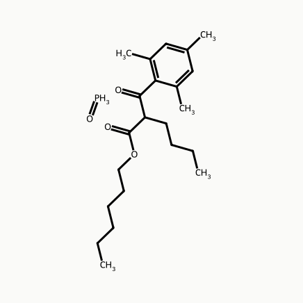 CCCCCCOC(=O)C(CCCC)C(=O)c1c(C)cc(C)cc1C.O=[PH3]